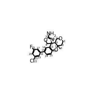 C[C@]12CCOCC1C1(COC(N)=N1)c1cc(-c3cc(F)cc(Cl)c3)ccc1O2